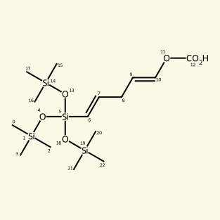 C[Si](C)(C)O[Si](C=CCC=COC(=O)O)(O[Si](C)(C)C)O[Si](C)(C)C